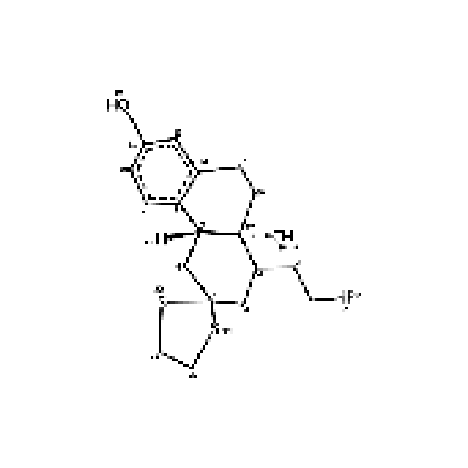 CC(C)CCC1CC2(C[C@@H]3c4ccc(O)cc4CC[C@@]13C)SCCS2